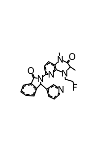 CC1C(=O)N(C)c2ccc(N3C(=O)c4ccccc4C3c3cccnc3)nc2N1CCF